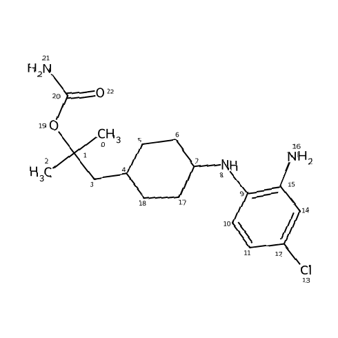 CC(C)(CC1CCC(Nc2ccc(Cl)cc2N)CC1)OC(N)=O